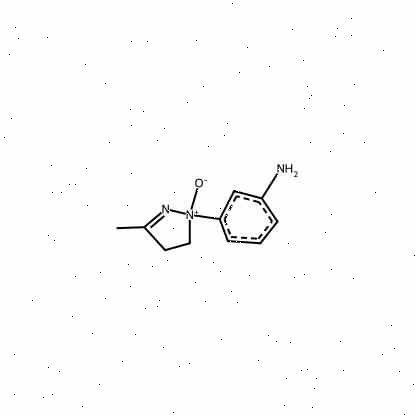 CC1=N[N+]([O-])(c2cccc(N)c2)CC1